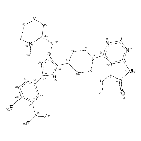 CCC1C(=O)Nc2ncnc(N3CCC(c4nc(-c5ccc(F)c(C(F)F)c5)cn4C[C@H]4CCCCN4C)CC3)c21